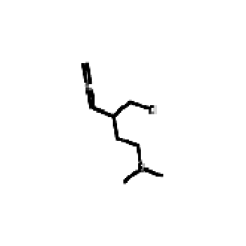 C=C=CC(CCl)CCN(C)C